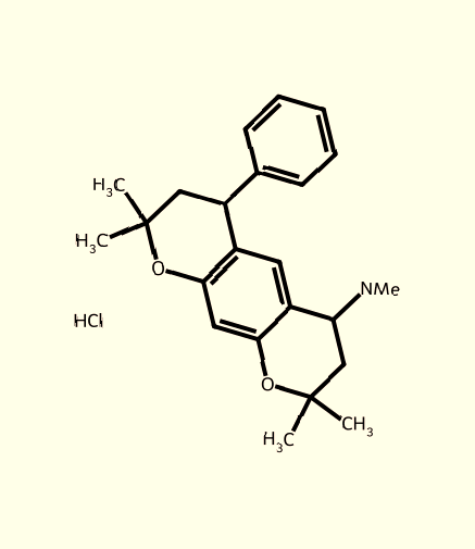 CNC1CC(C)(C)Oc2cc3c(cc21)C(c1ccccc1)CC(C)(C)O3.Cl